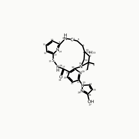 CC1(C)C[C@@H]2CCCNc3cccc(n3)SNC(=O)c3ccc(-n4ccc(O)n4)nc3N1C2